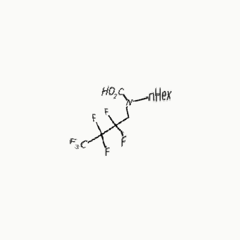 CCCCCCN(CC(F)(F)C(F)(F)C(F)(F)F)C(=O)O